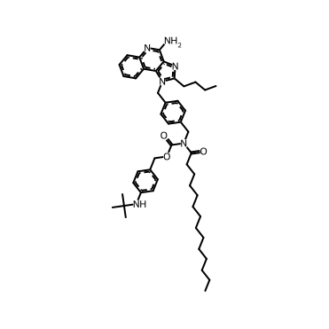 CCCCCCCCCCCCCC(=O)N(Cc1ccc(Cn2c(CCCC)nc3c(N)nc4ccccc4c32)cc1)C(=O)OCc1ccc(NC(C)(C)C)cc1